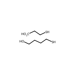 O=C(O)CCS.OCCCCS